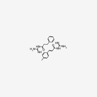 Cc1ccc(C=CC(=O)NC(=N)N)cc1.N=C(N)NC(=O)CCc1ccccc1